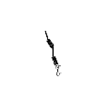 CC#CC#[N+][O-]